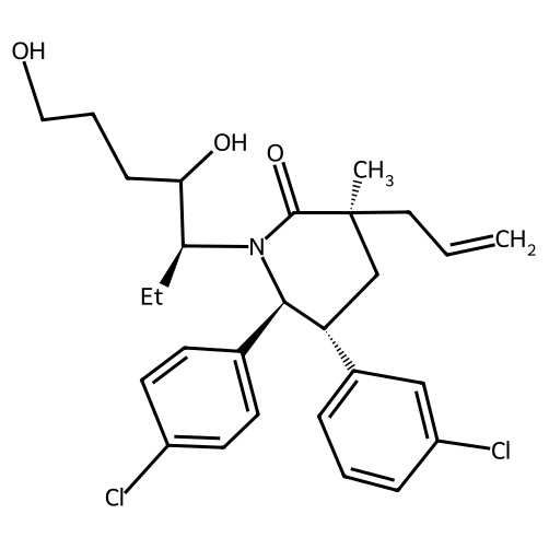 C=CC[C@@]1(C)C[C@H](c2cccc(Cl)c2)[C@@H](c2ccc(Cl)cc2)N([C@@H](CC)C(O)CCCO)C1=O